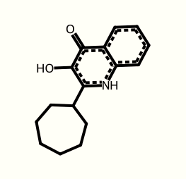 O=c1c(O)c(C2CCCCCC2)[nH]c2ccccc12